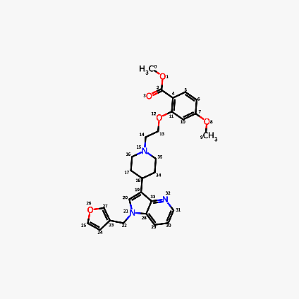 COC(=O)c1ccc(OC)cc1OCCN1CCC(c2cn(Cc3ccoc3)c3cccnc23)CC1